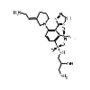 NCC=C1CCCN(c2ccc(S(=O)(=O)NCC(O)CN)c(S(N)(=O)=O)c2-c2nn[nH]n2)C1